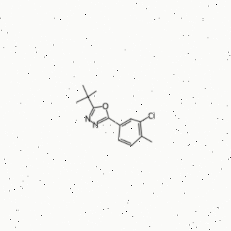 Cc1ccc(-c2nnc(C(C)(C)C)o2)cc1Cl